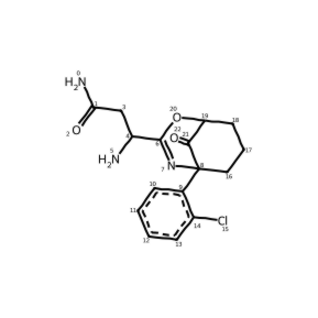 NC(=O)CC(N)C1=NC2(c3ccccc3Cl)CCCC(O1)C2=O